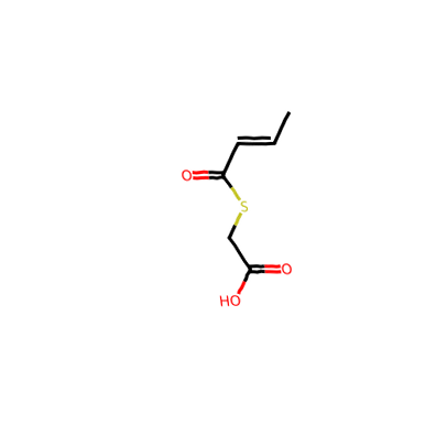 C/C=C/C(=O)SCC(=O)O